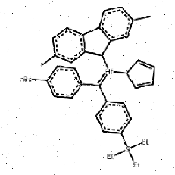 CCCCc1ccc([C](c2ccc([Si](CC)(CC)CC)cc2)=[Hf]([CH]2C=CC=C2)[CH]2c3cc(C)ccc3-c3ccc(C)cc32)cc1